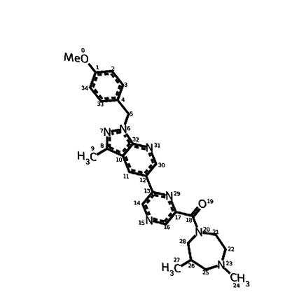 COc1ccc(Cn2nc(C)c3cc(-c4cncc(C(=O)N5CCN(C)CC(C)C5)n4)cnc32)cc1